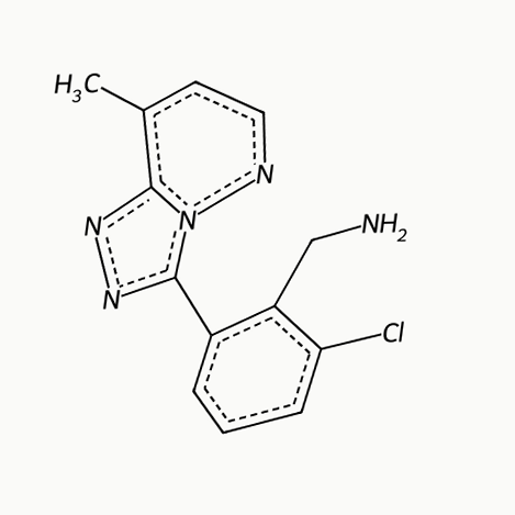 Cc1ccnn2c(-c3cccc(Cl)c3CN)nnc12